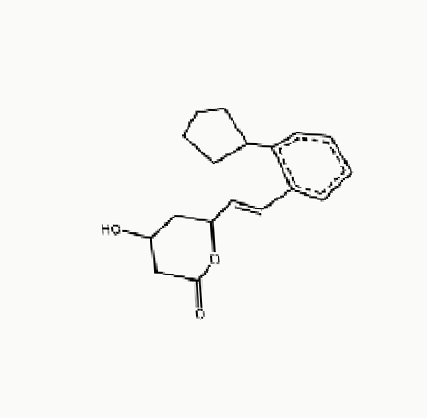 O=C1CC(O)CC(C=Cc2ccccc2C2CCCC2)O1